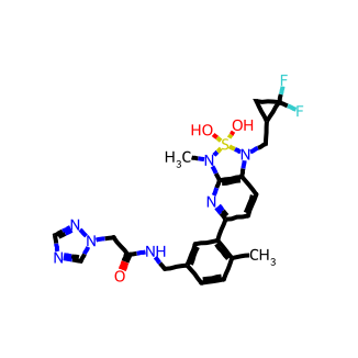 Cc1ccc(CNC(=O)Cn2cncn2)cc1-c1ccc2c(n1)N(C)S(O)(O)N2CC1CC1(F)F